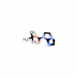 CC(C)(C)OC(=O)N1CCn2ccnc21